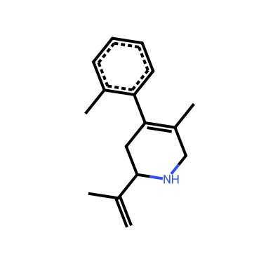 C=C(C)C1CC(c2ccccc2C)=C(C)CN1